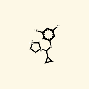 Fc1cc(Cl)cc(OC(C2CC2)[C@H]2CCNC2)c1